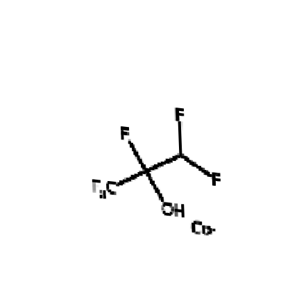 OC(F)(C(F)F)C(F)(F)F.[Co]